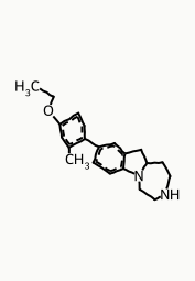 CCOc1ccc(-c2ccc3c(c2)CC2CCNCCN32)c(C)c1